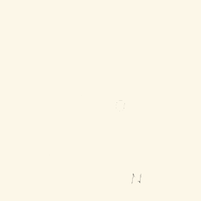 CCCCC1(OC#N)CCCCC1